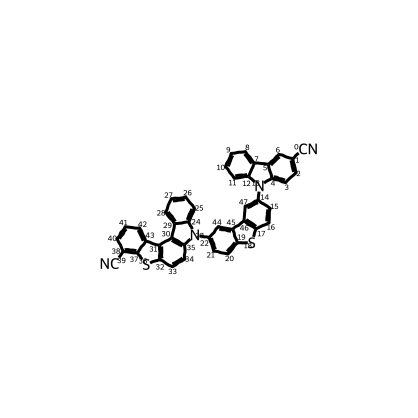 N#Cc1ccc2c(c1)c1ccccc1n2-c1ccc2sc3ccc(-n4c5ccccc5c5c6c(ccc54)sc4c(C#N)cccc46)cc3c2c1